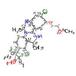 COCCOc1cc2c(NC(C)c3cccc(C(F)(F)C(C)(C)O)c3F)nc(C)nc2cc1Cl